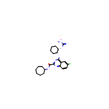 CON(C)C(=N)N[C@@H]1CCCC[C@@H]1Nc1nc(C(=O)NC2CCCCCC2)nc2ccc(Cl)cc12.Cl.Cl